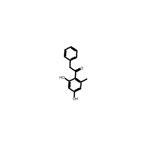 Cc1cc(O)cc(O)c1C(=O)Cc1ccccc1